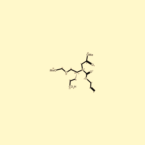 C=CCOC(=O)N(CC(=O)OC)[C@H](CCC(=O)O)COCOC